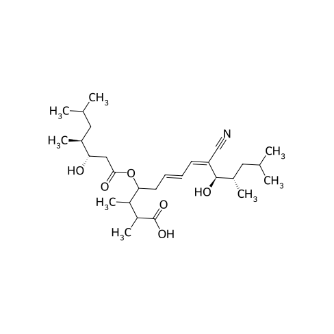 CC(C)C[C@H](C)[C@@H](O)CC(=O)OC(C/C=C/C=C(/C#N)[C@H](O)[C@@H](C)CC(C)C)C(C)C(C)C(=O)O